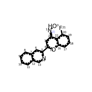 O/N=c1/cc(-c2cc3ccccc3cn2)oc2cccc(F)c12